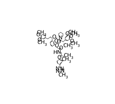 CC[C@H](C(=O)N1CCCC[C@H]1C(=O)O[C@H](CCc1ccc(OC)c(OC)c1)c1cccc(OCC(=O)NCC(Oc2ccc(-c3nnc(C)nn3)cc2)C(C)C)c1)c1cc(OC)c(OC)c(OC)c1